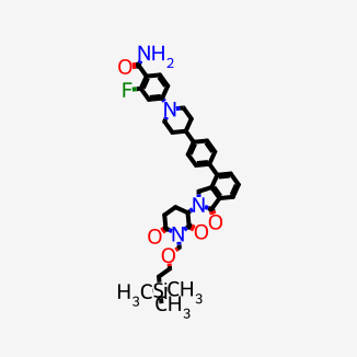 C[Si](C)(C)CCOCN1C(=O)CCC(N2Cc3c(cccc3-c3ccc(C4CCN(c5ccc(C(N)=O)c(F)c5)CC4)cc3)C2=O)C1=O